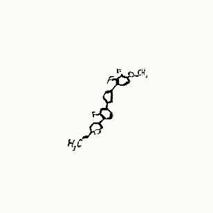 C/C=C/C1CCC(c2ccc(-c3ccc(-c4ccc(OCC)c(F)c4F)cc3)cc2F)CO1